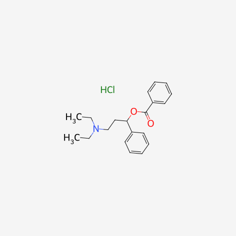 CCN(CC)CCC(OC(=O)c1ccccc1)c1ccccc1.Cl